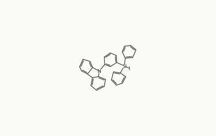 I[Si](c1ccccc1)(c1ccccc1)c1cccc(-n2c3ccccc3c3ccccc32)c1